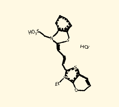 CC[n+]1c(C=CC=C2Sc3ccccc3N2CS(=O)(=O)O)sc2c1OCC=C2.[OH-]